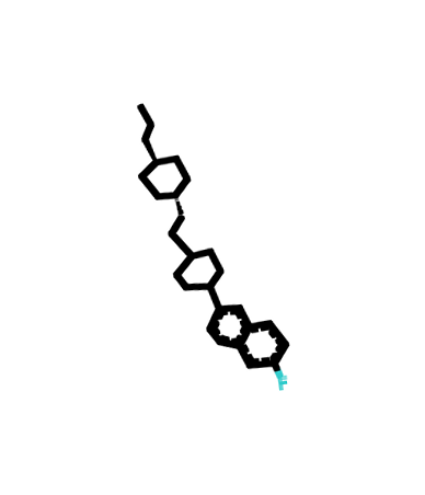 CCC[C@H]1CC[C@H](CCC2CCC(c3ccc4cc(F)ccc4c3)CC2)CC1